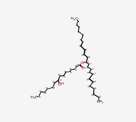 CCCCCCCCCCCCC(CCCCCCCCCCCC)OC(=O)CCCCCCCC(O)CCCCCCC